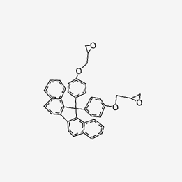 c1ccc2c3c(ccc2c1)-c1ccc2ccccc2c1C3(c1ccc(OCC2CO2)cc1)c1ccc(OCC2CO2)cc1